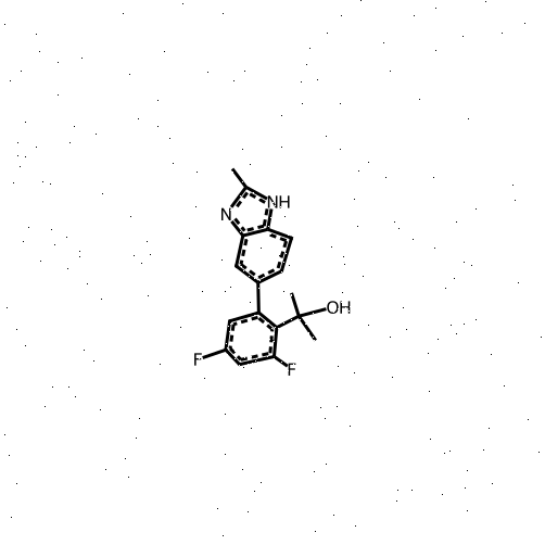 Cc1nc2cc(-c3cc(F)cc(F)c3C(C)(C)O)ccc2[nH]1